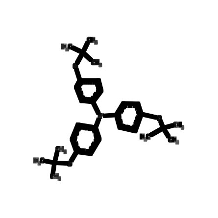 CC(C)(C)Oc1ccc([S+](c2ccc(OC(C)(C)C)cc2)c2ccc(OC(C)(C)C)cc2)cc1